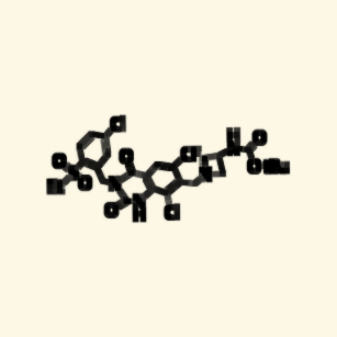 CCS(=O)(=O)c1ccc(Cl)cc1Cn1c(=O)[nH]c2c(Cl)c(CN3CC(NC(=O)OC(C)(C)C)C3)c(C(F)(F)F)cc2c1=O